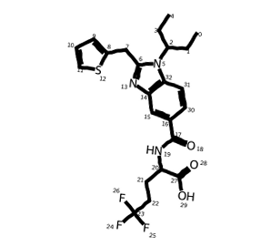 CCC(CC)n1c(Cc2cccs2)nc2cc(C(=O)NC(CCC(F)(F)F)C(=O)O)ccc21